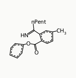 CCCCCC(=N)c1cc(C)ccc1C(=O)Oc1ccccc1